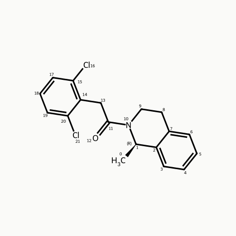 C[C@@H]1c2ccccc2CCN1C(=O)Cc1c(Cl)cccc1Cl